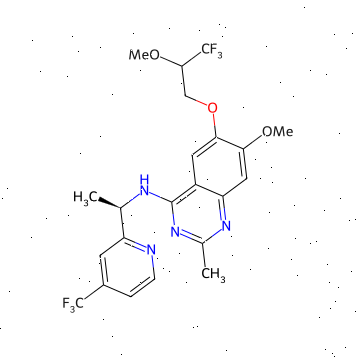 COc1cc2nc(C)nc(N[C@H](C)c3cc(C(F)(F)F)ccn3)c2cc1OCC(OC)C(F)(F)F